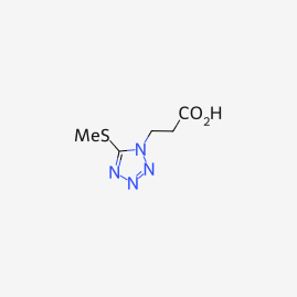 [CH2]Sc1nnnn1CCC(=O)O